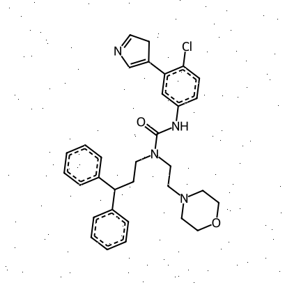 O=C(Nc1ccc(Cl)c(C2=CN=CC2)c1)N(CCC(c1ccccc1)c1ccccc1)CCN1CCOCC1